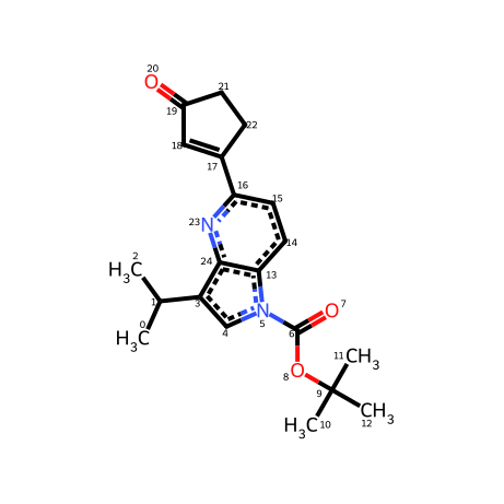 CC(C)c1cn(C(=O)OC(C)(C)C)c2ccc(C3=CC(=O)CC3)nc12